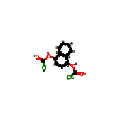 O=C(Cl)Oc1ccc(OC(=O)Cl)c2ccccc12